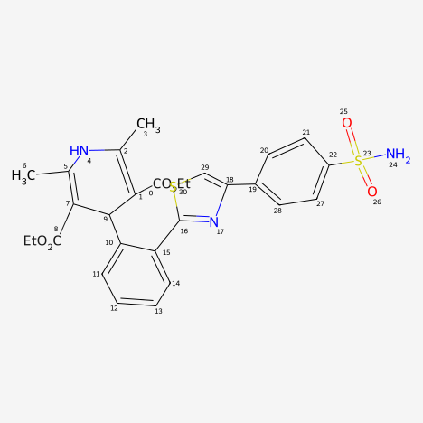 CCOC(=O)C1=C(C)NC(C)=C(C(=O)OCC)C1c1ccccc1-c1nc(-c2ccc(S(N)(=O)=O)cc2)cs1